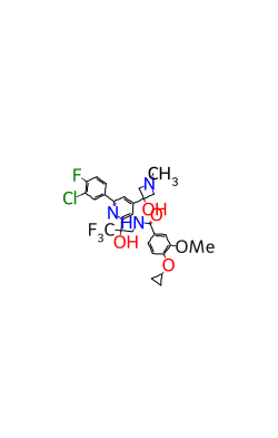 COc1cc(C(=O)NCC(O)(c2cc(C3(O)CN(C)C3)cc(-c3ccc(F)c(Cl)c3)n2)C(F)(F)F)ccc1OC1CC1